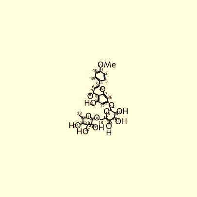 COc1ccc(-c2cc(=O)c3c(O)cc(OC4OC(COC5OC(C)C(O)C(O)C5O)C(O)C(O)C4O)cc3o2)cc1